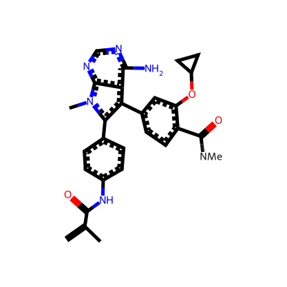 C=C(C)C(=O)Nc1ccc(-c2c(-c3ccc(C(=O)NC)c(OC4CC4)c3)c3c(N)ncnc3n2C)cc1